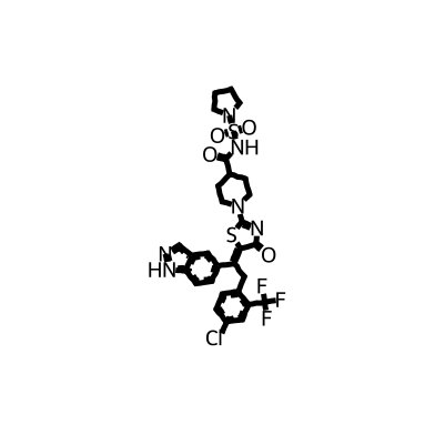 O=C1N=C(N2CCC(C(=O)NS(=O)(=O)N3CCCC3)CC2)SC1=C(Cc1ccc(Cl)cc1C(F)(F)F)c1ccc2[nH]ncc2c1